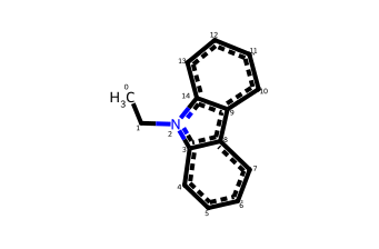 CCn1c2cc[c]cc2c2c[c]ccc21